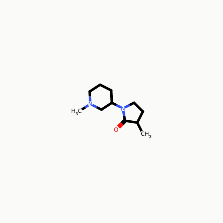 CC1CCN(C2CCCN(C)C2)C1=O